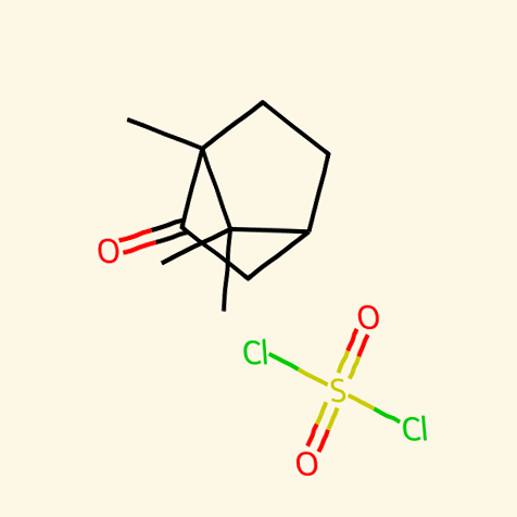 CC12CCC(CC1=O)C2(C)C.O=S(=O)(Cl)Cl